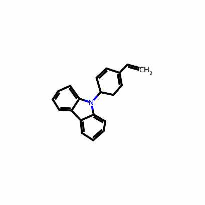 C=CC1=CCC(n2c3ccccc3c3ccccc32)C=C1